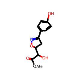 COC(=O)C(O)C1CC(c2ccc(O)cc2)=NO1